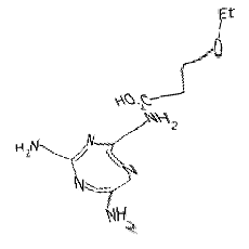 CCOCCC(=O)O.Nc1nc(N)nc(N)n1